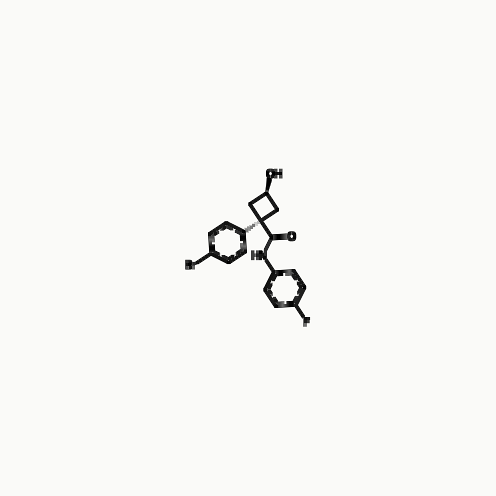 O=C(Nc1ccc(F)cc1)[C@]1(c2ccc(Br)cc2)C[C@H](O)C1